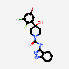 O=C(Nc1n[nH]c2ccccc12)N1CCC(O)(c2cc(Br)cc(Cl)c2F)CC1